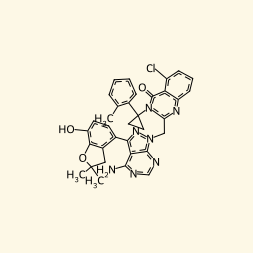 Cc1ccccc1C1(n2c(Cn3nc(-c4ccc(O)c5c4CC(C)(C)O5)c4c(N)ncnc43)nc3cccc(Cl)c3c2=O)CC1